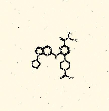 CN(C)C(=O)c1ccc(N2CCN(C(=O)O)CC2)c(Nc2ncc3ccn(C4CCCC4)c3n2)n1